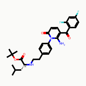 CC(C)C[C@@H](NCCc1ccc(-n2c(N)c(C(=O)c3ccc(F)cc3F)ccc2=O)cc1)C(=O)OC(C)(C)C